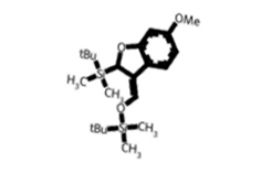 COc1ccc2c(c1)OC([Si](C)(C)C(C)(C)C)C2=CO[Si](C)(C)C(C)(C)C